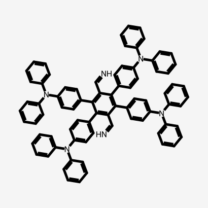 N=Cc1c(-c2ccc(N(c3ccccc3)c3ccccc3)cc2)c(-c2ccc(N(c3ccccc3)c3ccccc3)cc2)c(C=N)c(-c2ccc(N(c3ccccc3)c3ccccc3)cc2)c1-c1ccc(N(c2ccccc2)c2ccccc2)cc1